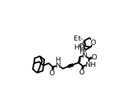 CC[C@@]12COC([C@H](n3cc(C#CCNC(=O)CC45CC6CC(CC(C6)C4)C5)c(=O)[nH]c3=O)O1)[C@H]2O